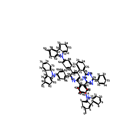 Cc1ccc2c(c1)c1ccccc1n2-c1ccc(-c2cc(-c3ccccc3-c3nc(-c4ccccc4)nc(-c4ccccc4)n3)c(-c3ccc(-n4c5ccccc5c5cc(C)ccc54)cc3)c(-c3ccc(-n4c5ccccc5c5cc(C)ccc54)cc3)n2)cc1